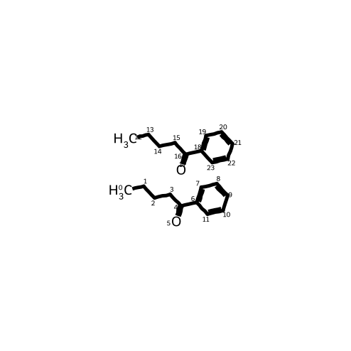 CCCCC(=O)c1ccccc1.CCCCC(=O)c1ccccc1